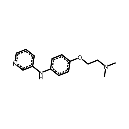 CN(C)CCOc1ccc(Nc2cccnc2)cc1